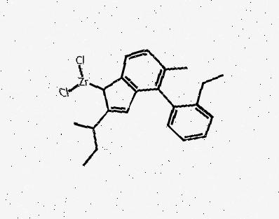 CCc1ccccc1-c1c(C)ccc2c1C=C(C(C)CC)[CH]2[Zr]([Cl])[Cl]